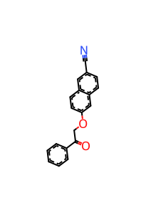 N#Cc1ccc2cc(OCC(=O)c3ccccc3)ccc2c1